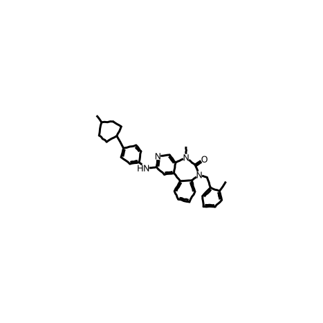 Cc1ccccc1CN1C(=O)N(C)c2cnc(Nc3ccc(C4CCC(C)CC4)cc3)cc2-c2ccccc21